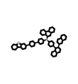 c1ccc2cc(-c3ccc4ccccc4c3-c3ccc(N(c4ccc(-c5ccc(-c6ccc7c(c6)oc6ccccc67)cc5)cc4)c4cc5ccccc5c5ccccc45)cc3)ccc2c1